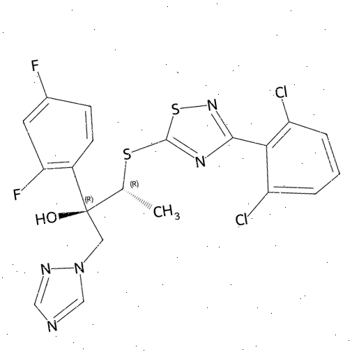 C[C@@H](Sc1nc(-c2c(Cl)cccc2Cl)ns1)[C@](O)(Cn1cncn1)c1ccc(F)cc1F